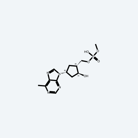 COP(=O)(O)OC[C@H]1C[C@@H](n2cnc3c(C)ncnc32)C[C@@H]1O